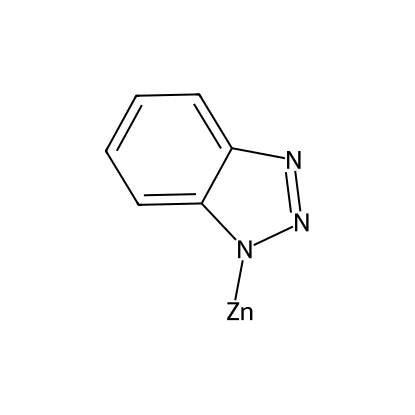 [Zn][n]1nnc2ccccc21